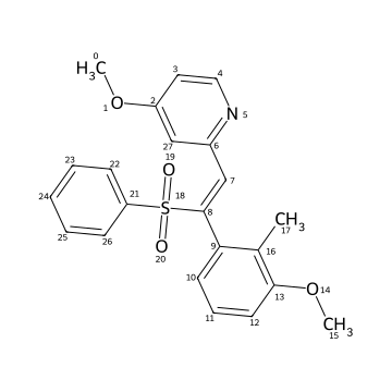 COc1ccnc(/C=C(/c2cccc(OC)c2C)S(=O)(=O)c2ccccc2)c1